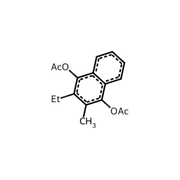 CCc1c(C)c(OC(C)=O)c2ccccc2c1OC(C)=O